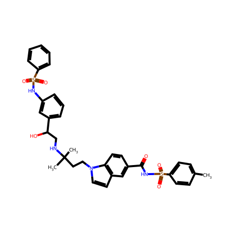 Cc1ccc(S(=O)(=O)NC(=O)c2ccc3c(ccn3CCC(C)(C)NCC(O)c3cccc(NS(=O)(=O)c4ccccc4)c3)c2)cc1